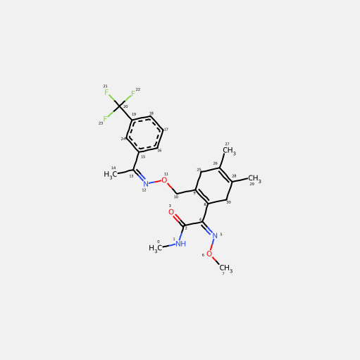 CNC(=O)C(=NOC)C1=C(CON=C(C)c2cccc(C(F)(F)F)c2)CC(C)=C(C)C1